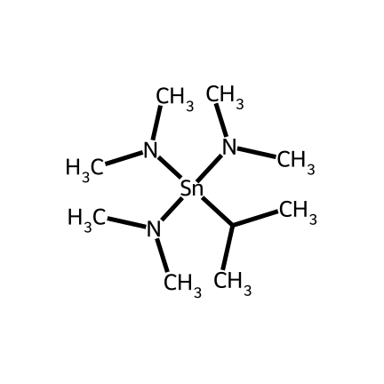 C[CH](C)[Sn]([N](C)C)([N](C)C)[N](C)C